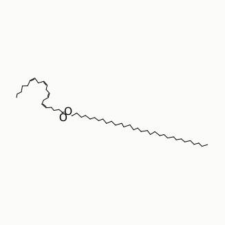 CCCCC/C=C\C/C=C\C/C=C\C/C=C\CCCC(=O)OCCCCCCCCCCCCCCCCCCCCCCCCCCCCCCCC